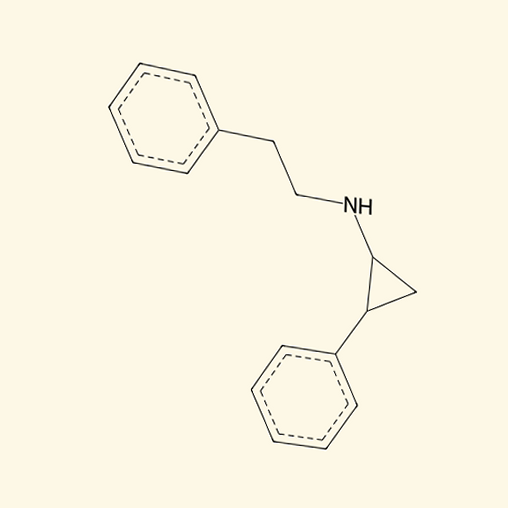 c1ccc(CCNC2CC2c2ccccc2)cc1